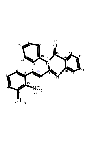 Cc1cccc(/C=C/c2nc3ccccc3c(=O)n2-c2ccccc2)c1[N+](=O)[O-]